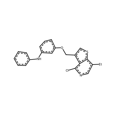 CCc1cnc(Cl)c2c(COc3cccc(Nc4ccccc4)c3)csc12